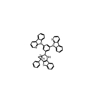 c1ccc(C23C[C@@H]2C(c2cc(-n4c5ccccc5c5cccnc54)cc(-n4c5ccccc5c5cccnc54)c2)Nc2c3sc3ccccc23)cc1